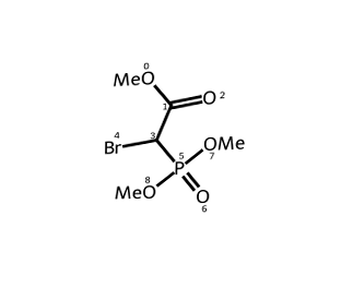 COC(=O)C(Br)P(=O)(OC)OC